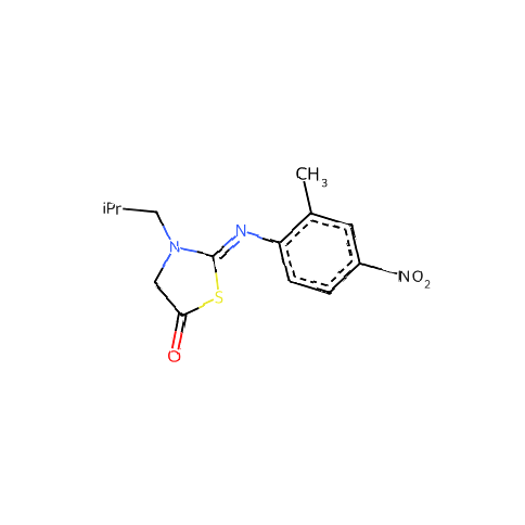 Cc1cc([N+](=O)[O-])ccc1/N=C1\SC(=O)CN1CC(C)C